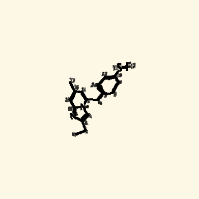 CCc1cn2c(Cc3ccc(SF)cc3)cc(C)cc2n1